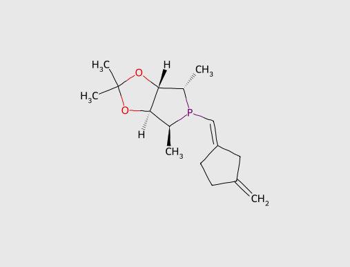 C=C1CC/C(=C\P2[C@@H](C)[C@H]3OC(C)(C)O[C@@H]3[C@@H]2C)C1